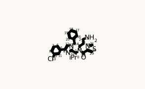 CC(C)[C@H](c1nc(-c2cccc(Cl)c2)cn1Cc1ccccc1)N(CCCN)C(=O)c1cscn1